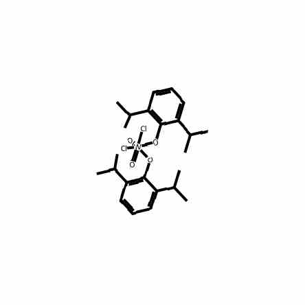 CC(C)c1cccc(C(C)C)c1[O][W](=[O])(=[O])([Cl])([Cl])[O]c1c(C(C)C)cccc1C(C)C